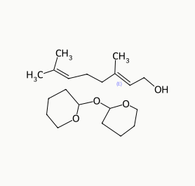 C1CCC(OC2CCCCO2)OC1.CC(C)=CCC/C(C)=C/CO